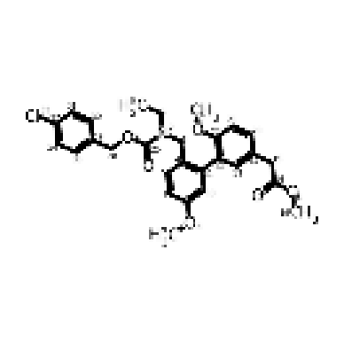 CCN(Cc1ccc(OC)cc1-c1cc(CC(=O)OC)ccc1OC)C(=O)OCc1ccc(Cl)cc1